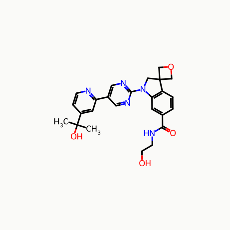 CC(C)(O)c1ccnc(-c2cnc(N3CC4(COC4)c4ccc(C(=O)NCCO)cc43)nc2)c1